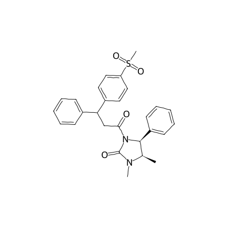 C[C@@H]1[C@H](c2ccccc2)N(C(=O)CC(c2ccccc2)c2ccc(S(C)(=O)=O)cc2)C(=O)N1C